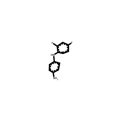 Nc1ccc(Nc2ccc(F)cc2F)cc1